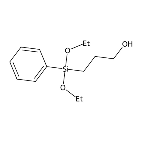 CCO[Si](CCCO)(OCC)c1ccccc1